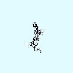 CCOC(=O)N(C)CCOC(=O)OCN1C(=O)NC(c2cc3cnccc3o2)C1=O